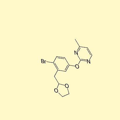 Cc1ccnc(Oc2ccc(Br)c(CC3OCCO3)c2)n1